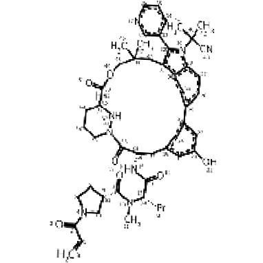 C=CC(=O)N1CC[C@H](C(=O)N(C)[C@H](C(=O)N[C@H]2Cc3cc(O)cc(c3)-c3ccc4c(c3)c(c(-c3cccnc3)n4C(C)(C)C#N)CC(C)(C)COC(=O)[C@@H]3CCCN(N3)C2=O)C(C)C)C1